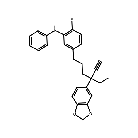 C#CC(CC)(CCCc1ccc(F)c(Nc2ccccc2)c1)c1ccc2c(c1)OCO2